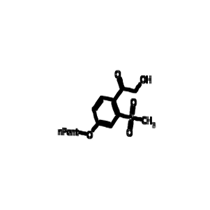 CCCCCOc1ccc(C(=O)CO)c(S(C)(=O)=O)c1